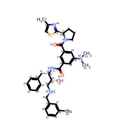 Cc1csc([C@H]2CCCN2C(=O)c2cc(C(=O)N[C@@H](Cc3ccccc3)[C@H](O)CNCc3cccc(C(C)(C)C)c3)cc(N(C)C)c2)n1